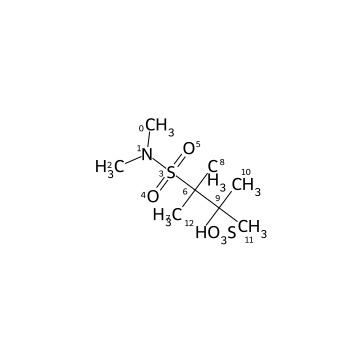 CN(C)S(=O)(=O)C(C)(C)C(C)(C)S(=O)(=O)O